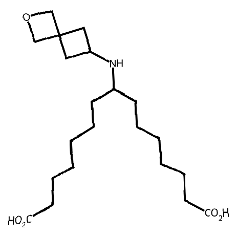 O=C(O)CCCCCCC(CCCCCCC(=O)O)NC1CC2(COC2)C1